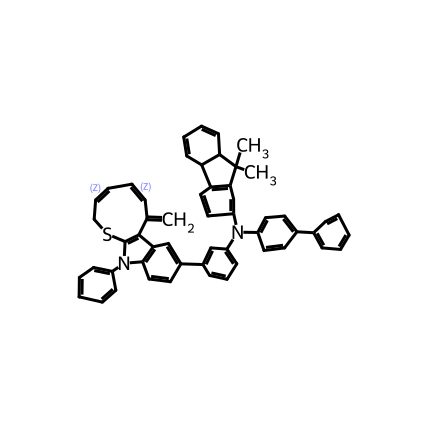 C=C1/C=C\C=C/CSc2c1c1cc(-c3cccc(N(c4ccc(-c5ccccc5)cc4)c4ccc5c(c4)C(C)(C)C4C=CC=CC54)c3)ccc1n2-c1ccccc1